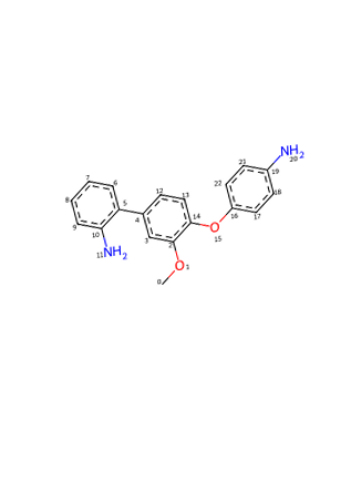 COc1cc(-c2ccccc2N)ccc1Oc1ccc(N)cc1